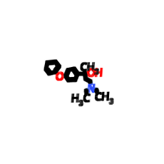 CCN(CC)CCC(C)(O)c1ccc(Oc2ccccc2)cc1